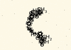 C=C1c2cccc(NCCC3CC4(C3)CN(C[C@H]3CC[C@H](c5nc6cc(OC)c(NC(=O)c7ccnc(C)n7)cc6s5)CC3)C4)c2C(=O)N1C1CCC(=O)NC1=O